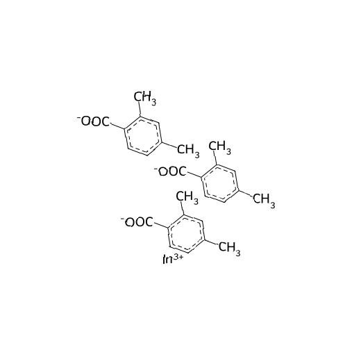 Cc1ccc(C(=O)[O-])c(C)c1.Cc1ccc(C(=O)[O-])c(C)c1.Cc1ccc(C(=O)[O-])c(C)c1.[In+3]